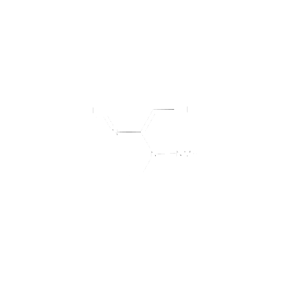 C=N/C(=C/C)N(CCC)NC